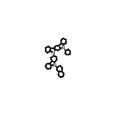 c1ccc(-n2c3ccccc3c3cc4c5ccccc5n(-c5ccc6c(c5)c5ccccc5n6-c5ccc6ccccc6c5)c4cc32)cc1